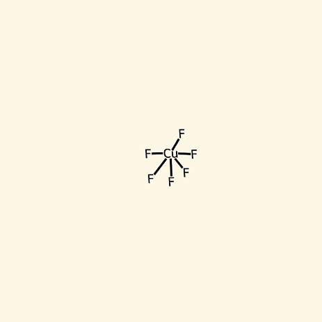 [F][Cu]([F])([F])([F])([F])[F]